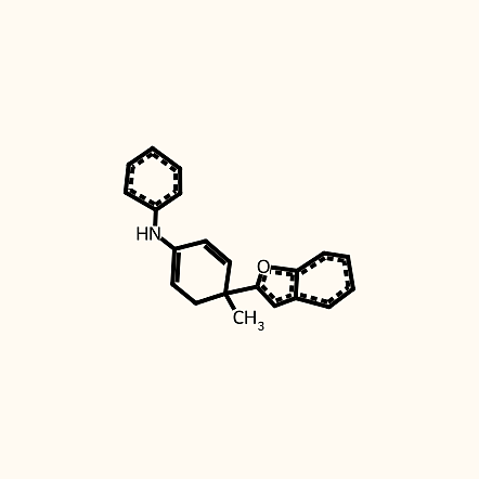 CC1(c2cc3ccccc3o2)C=CC(Nc2ccccc2)=CC1